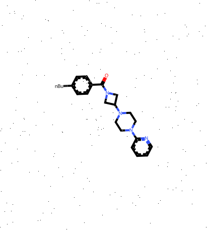 CCCCc1ccc(C(=O)N2CC(N3CCN(c4ccccn4)CC3)C2)cc1